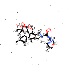 Cc1ccc(-c2c(C)c3c(c(C)c2[C@H](OC(C)(C)C)C(=O)O)CN(C(=O)N2C[C@H](C)O[C@@H](C)C2)C3)cc1